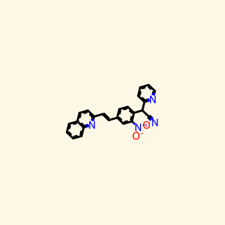 N#CC(c1ccccn1)c1ccc(C=Cc2ccc3ccccc3n2)cc1[N+](=O)[O-]